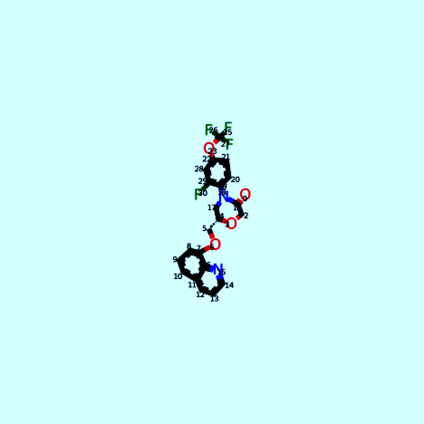 O=C1CO[C@H](COc2cccc3cccnc23)CN1c1ccc(OC(F)(F)F)cc1F